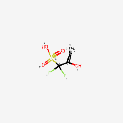 C=C(O)C(F)(F)S(=O)(=O)O